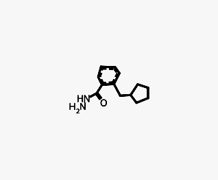 NNC(=O)c1ccccc1CC1CCCC1